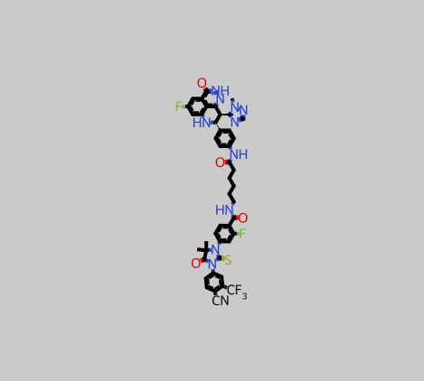 Cn1ncnc1[C@@H]1c2n[nH]c(=O)c3cc(F)cc(c23)N[C@H]1c1ccc(NC(=O)CCCCCNC(=O)c2ccc(N3C(=S)N(c4ccc(C#N)c(C(F)(F)F)c4)C(=O)C3(C)C)cc2F)cc1